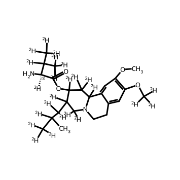 [2H]C([2H])([2H])Oc1cc2c(cc1OC)C1([2H])N(CC2)C([2H])([2H])C([2H])(C([2H])([2H])C([2H])(C)C([2H])([2H])[2H])C([2H])(OC(=O)[C@@]([2H])(N)C([2H])(C([2H])([2H])[2H])C([2H])([2H])[2H])C1([2H])[2H]